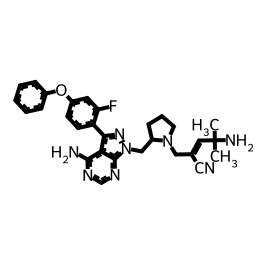 CC(C)(N)C=C(C#N)CN1CCCC1Cn1nc(-c2ccc(Oc3ccccc3)cc2F)c2c(N)ncnc21